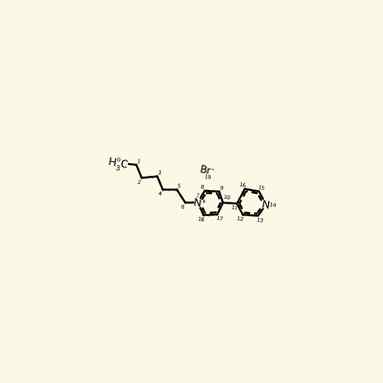 CCCCCCC[n+]1ccc(-c2ccncc2)cc1.[Br-]